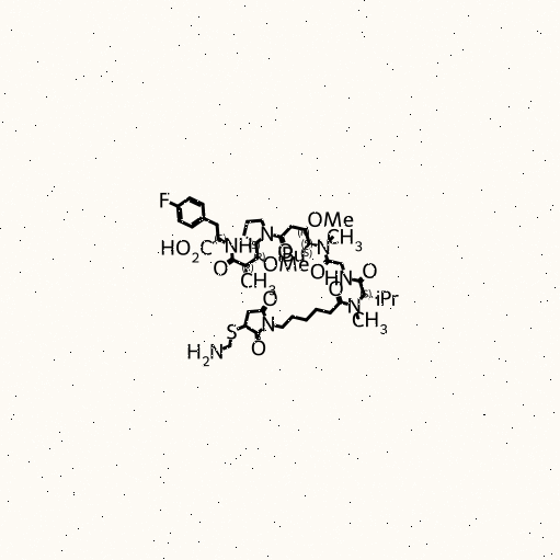 CC[C@H](C)[C@@H]([C@@H](CC(=O)N1CCC[C@H]1[C@H](OC)[C@@H](C)C(=O)N[C@@H](Cc1ccc(F)cc1)C(=O)O)OC)N(C)C(=O)CNC(=O)[C@H](C(C)C)N(C)C(=O)CCCCCN1C(=O)CC(SCN)C1=O